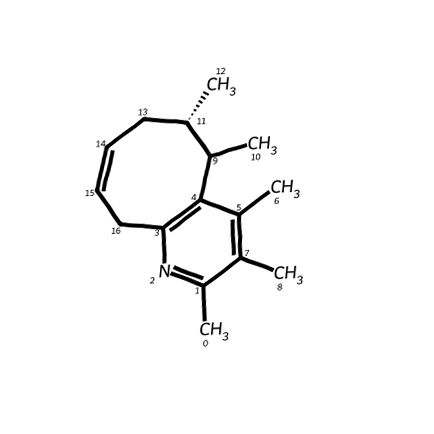 Cc1nc2c(c(C)c1C)C(C)[C@@H](C)CC=CC2